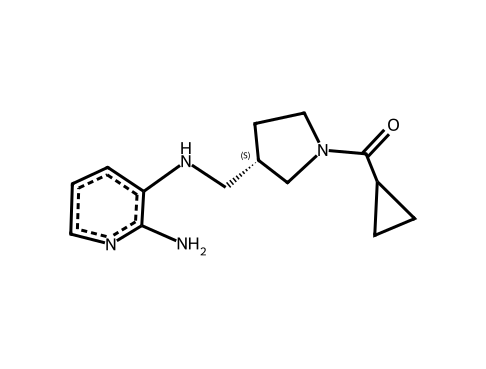 Nc1ncccc1NC[C@@H]1CCN(C(=O)C2CC2)C1